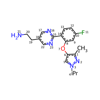 Cc1nn(C(C)C)cc1Oc1cc(F)ccc1-c1ncc(CCN)cn1